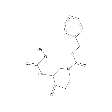 CC(C)(C)OC(=O)NC1CN(C(=O)OCc2ccccc2)CCC1=O